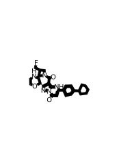 O=C(c1c([C@H]2CNCCO2)nn2c(=O)cc(-c3ccc(C4CCCCC4)cc3)[nH]c12)N1CC(CF)C1